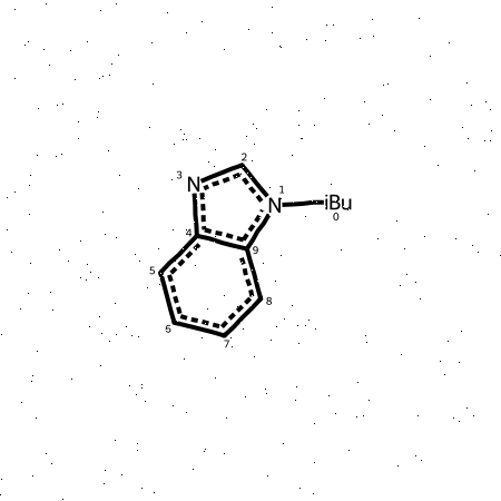 [CH2]C(CC)n1cnc2ccccc21